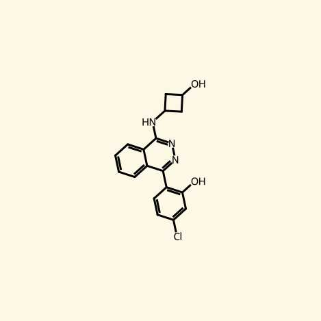 Oc1cc(Cl)ccc1-c1nnc(NC2CC(O)C2)c2ccccc12